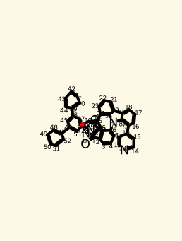 O=C1c2cccc(-n3c4c(-c5ccncc5)cccc4c4cccc(-c5ccncc5)c43)c2C(=O)N1c1cc(-c2ccccc2)cc(-c2ccccc2)c1